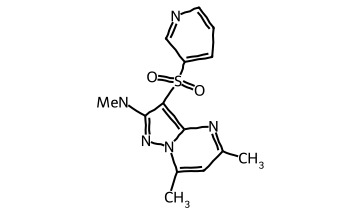 CNc1nn2c(C)cc(C)nc2c1S(=O)(=O)c1cccnc1